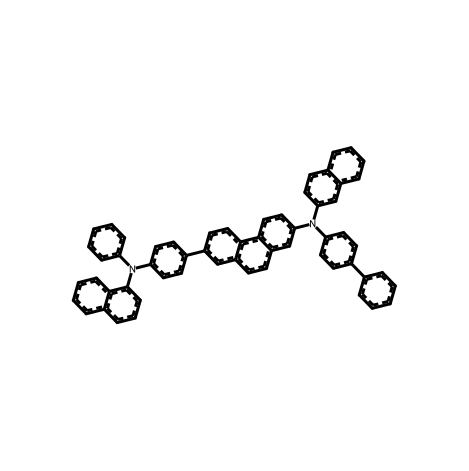 c1ccc(-c2ccc(N(c3ccc4ccccc4c3)c3ccc4c(ccc5cc(-c6ccc(N(c7ccccc7)c7cccc8ccccc78)cc6)ccc54)c3)cc2)cc1